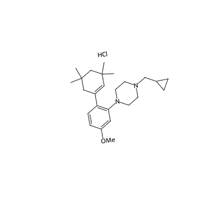 COc1ccc(C2=CC(C)(C)CC(C)(C)C2)c(N2CCN(CC3CC3)CC2)c1.Cl